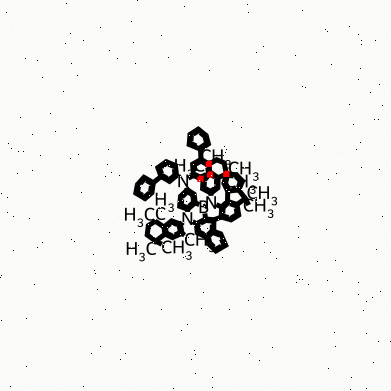 Cc1cc2c(cc1N1c3ccc(N(c4cccc(-c5ccccc5)c4)c4cccc(-c5ccccc5)c4)cc3B3c4c1cc1ccccc1c4-c1ccc4c(c1N3c1ccc3c(c1)C(C)(C)CCC3(C)C)-c1ccccc1C4(C)C)C(C)(C)CCC2(C)C